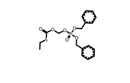 CCSC(=O)OCOP(=O)(OCc1ccccc1)OCc1ccccc1